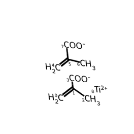 C=C(C)C(=O)[O-].C=C(C)C(=O)[O-].[Ti+2]